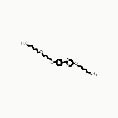 CCC/C=C/COc1cnc(-c2ccc(OCCCCOCCCCCC)cc2)nc1